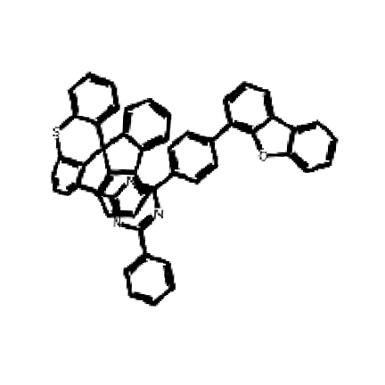 c1ccc(-c2nc(-c3ccc(-c4cccc5c4oc4ccccc45)cc3)nc(-c3cccc4c3C3(c5ccccc5S4)c4ccccc4-c4ccccc43)n2)cc1